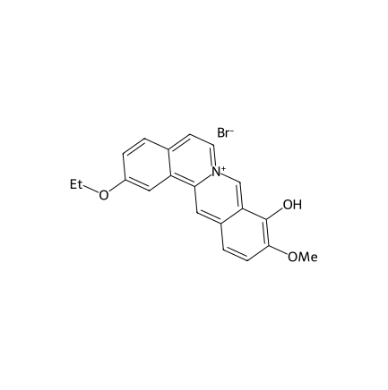 CCOc1ccc2cc[n+]3cc4c(O)c(OC)ccc4cc3c2c1.[Br-]